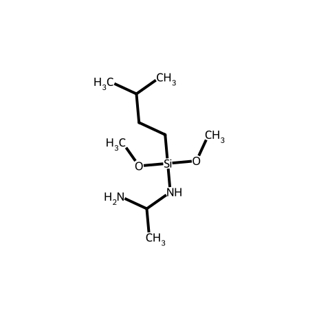 CO[Si](CCC(C)C)(NC(C)N)OC